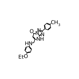 CCOc1ccc(NCc2cc(=O)n3nc(-c4ccc(C)cc4)nc3[nH]2)cc1